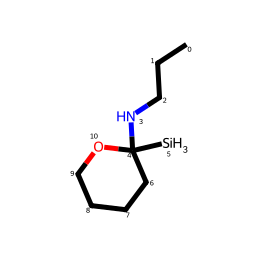 CCCNC1([SiH3])CCCCO1